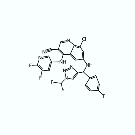 N#Cc1cnc2c(Cl)cc(NC(c3ccc(F)cc3)c3cn(C(F)F)nn3)cc2c1Nc1cnc(F)c(F)c1